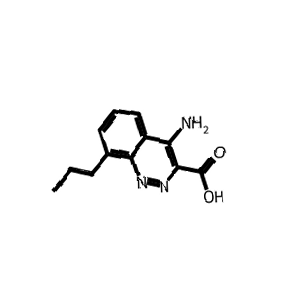 CCCc1cccc2c(N)c(C(=O)O)nnc12